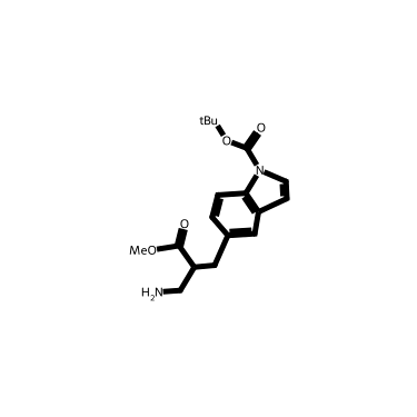 COC(=O)C(CN)Cc1ccc2c(ccn2C(=O)OC(C)(C)C)c1